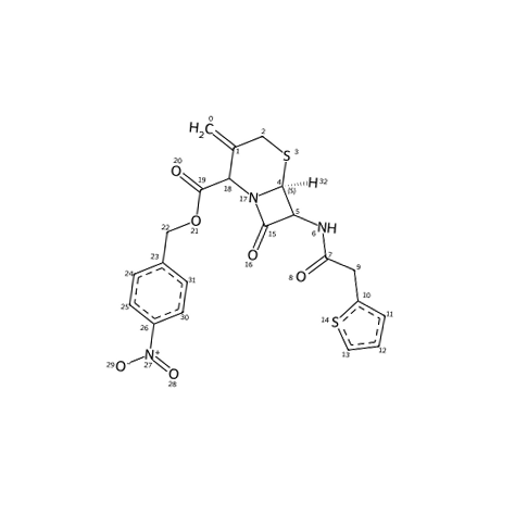 C=C1CS[C@H]2C(NC(=O)Cc3cccs3)C(=O)N2C1C(=O)OCc1ccc([N+](=O)[O-])cc1